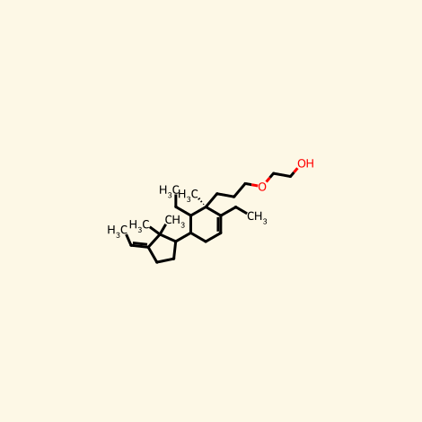 C/C=C1/CCC(C2CC=C(CC)[C@](C)(CCCOCCO)C2CC)C1(C)C